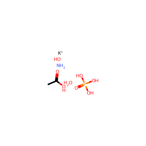 CC(=O)O.N.O.O=P(O)(O)O.[K+].[OH-]